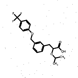 CC(C)OC(Cc1cccc(COc2ccc(C(F)(F)F)cc2)c1)C(=O)O